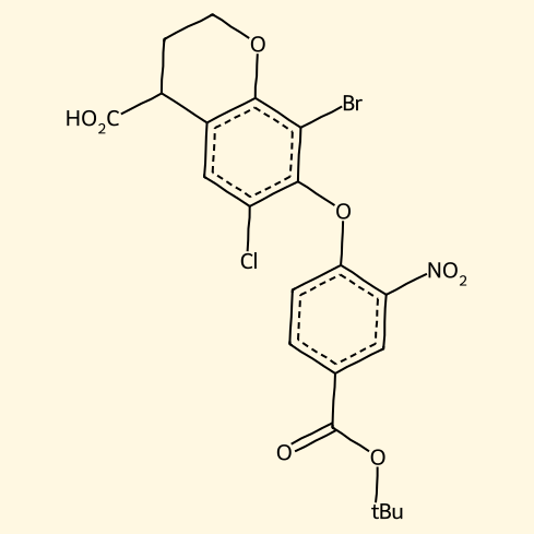 CC(C)(C)OC(=O)c1ccc(Oc2c(Cl)cc3c(c2Br)OCCC3C(=O)O)c([N+](=O)[O-])c1